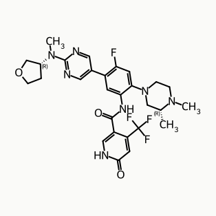 C[C@@H]1CN(c2cc(F)c(-c3cnc(N(C)[C@@H]4CCOC4)nc3)cc2NC(=O)c2c[nH]c(=O)cc2C(F)(F)F)CCN1C